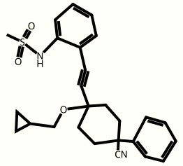 CS(=O)(=O)Nc1ccccc1C#CC1(OCC2CC2)CCC(C#N)(c2ccccc2)CC1